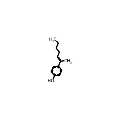 CCCCC=C(C)c1ccc(O)cc1